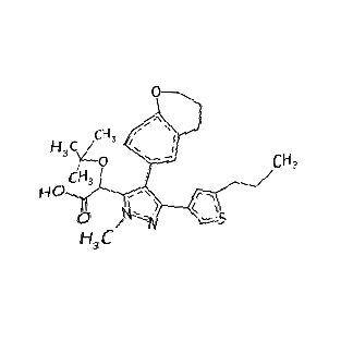 CCCc1cc(-c2nn(C)c(C(OC(C)(C)C)C(=O)O)c2-c2ccc3c(c2)CCCO3)cs1